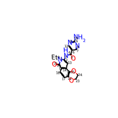 CCn1c(NC(=O)c2cnc(N)nc2)cc2c3c(ccc2c1=O)OCCO3